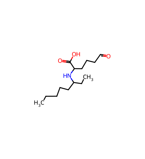 CCCCCC(CC)NC(CCCC=O)C(=O)O